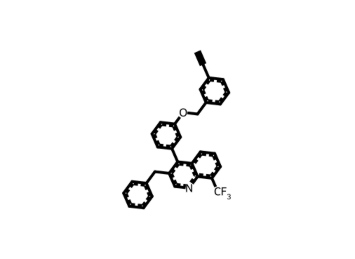 C#Cc1cccc(COc2cccc(-c3c(Cc4ccccc4)cnc4c(C(F)(F)F)cccc34)c2)c1